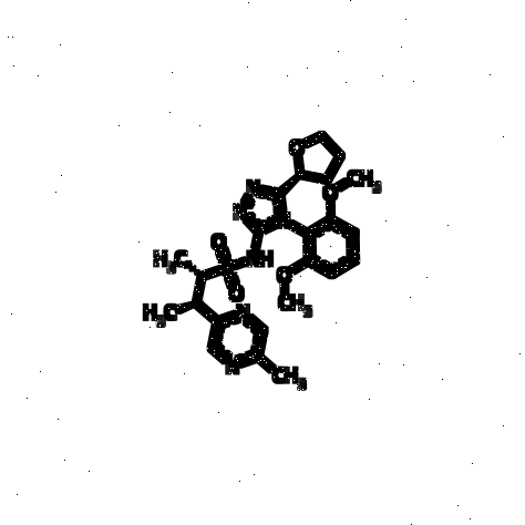 COc1cccc(OC)c1-n1c(NS(=O)(=O)[C@@H](C)[C@H](C)c2cnc(C)cn2)nnc1[C@@H]1CCCO1